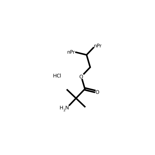 CCCC(CCC)COC(=O)C(C)(C)N.Cl